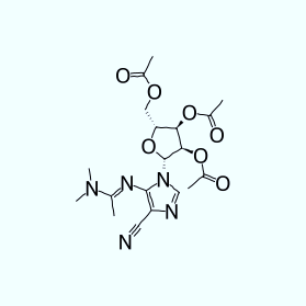 CC(=O)OC[C@H]1O[C@@H](n2cnc(C#N)c2/N=C(\C)N(C)C)[C@H](OC(C)=O)[C@@H]1OC(C)=O